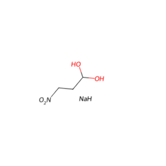 O=[N+]([O-])CCC(O)O.[NaH]